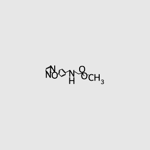 CCOC(=O)CCNCc1ccc(Oc2ncccn2)cc1